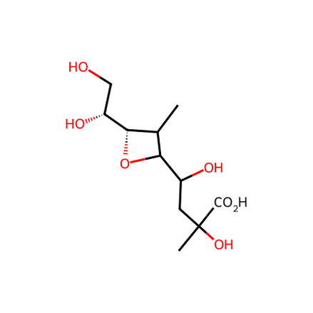 CC1C(C(O)CC(C)(O)C(=O)O)O[C@@H]1[C@H](O)CO